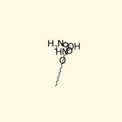 CCCCCCCCCCCCOCCCNC(=O)c1cc(N)ccc1O